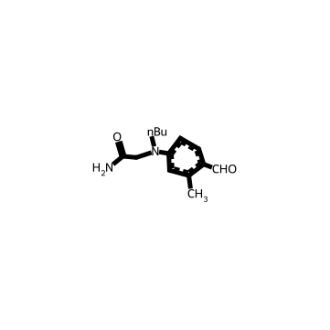 CCCCN(CC(N)=O)c1ccc(C=O)c(C)c1